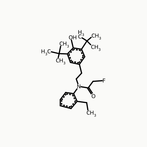 CCc1ccccc1N(CCc1cc(C(C)(C)C)c(O)c(C(C)(C)C)c1)C(=O)CF